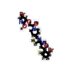 COc1ncc(Br)cc1OCC(=O)N1CCC(c2nc(C3=NOC(c4c(F)cccc4Br)C3)cs2)CC1